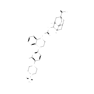 Cc1nc(N2CCN(OC(=O)NC3[C@@H]4CC5C[C@H]3CC(C(N)=O)(C5)C4)c3ccccc32)ccc1N1CCN(S(C)(=O)=O)CC1